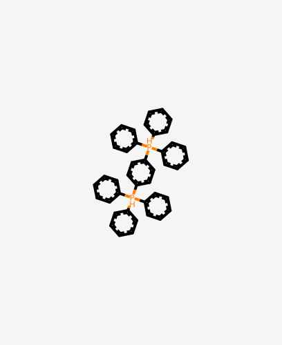 c1ccc([PH](c2ccccc2)(c2ccccc2)c2ccc([PH](c3ccccc3)(c3ccccc3)c3ccccc3)cc2)cc1